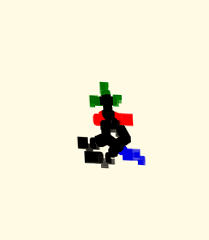 C=C(C)C(N)(CC(C)C)C(=O)O.O=C(O)C(F)(F)F